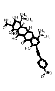 CN(C)c1cc(C#Cc2ccc([N+](=O)[O-])cc2)c(O)c2c1C[C@H]1C[C@H]3[C@H](N(C)C)C(O)=C(C(N)=O)C(=O)[C@@]3(O)C(O)=C1C2=O